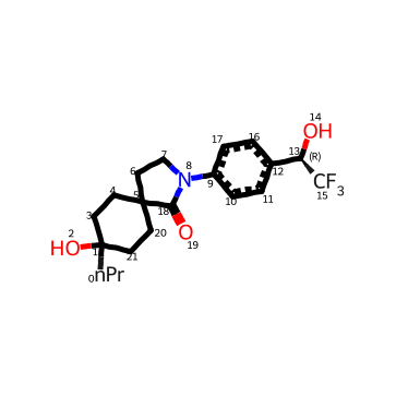 CCCC1(O)CCC2(CCN(c3ccc([C@@H](O)C(F)(F)F)cc3)C2=O)CC1